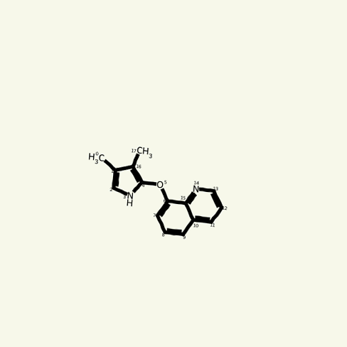 Cc1c[nH]c(Oc2cccc3cccnc23)c1C